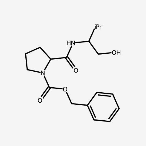 CC(C)C(CO)NC(=O)C1CCCN1C(=O)OCc1ccccc1